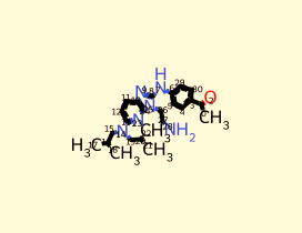 CC(=O)c1ccc(Nc2nc3ccc(N(CC(C)C)CC(C)C)nc3n2CCN)cc1